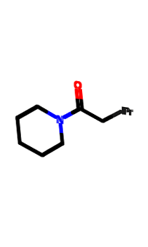 CC(C)CC(=O)N1CCCCC1